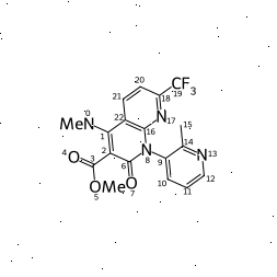 CNc1c(C(=O)OC)c(=O)n(-c2cccnc2C)c2nc(C(F)(F)F)ccc12